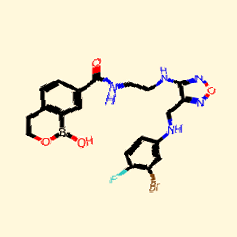 O=C(NCCNc1nonc1CNc1ccc(F)c(Br)c1)c1ccc2c(c1)B(O)OCC2